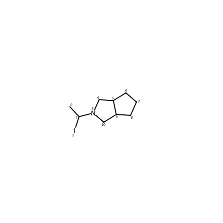 CC(I)N1CC2CCCC2C1